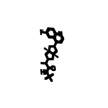 CC(C(=O)NC(C)(C)C)[C@@H]1C[C@]2(C)C[C@H](c3ccnc4ccc(F)cc34)C[C@]2(C)C1